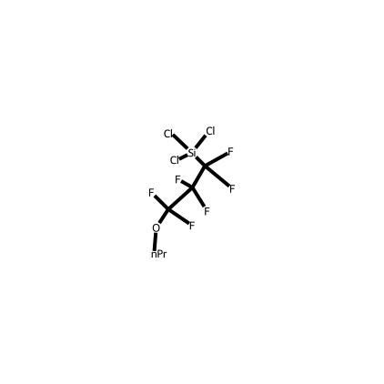 CCCOC(F)(F)C(F)(F)C(F)(F)[Si](Cl)(Cl)Cl